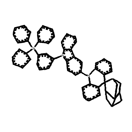 c1ccc([Si](c2ccccc2)(c2ccccc2)c2cccc(-n3c4ccccc4c4cc(N5c6ccccc6C6(c7ccccc75)C5CC7CC(C5)CC6C7)ccc43)c2)cc1